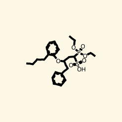 CCCCc1ccccc1OC(Cc1ccccc1)CC(P(=O)(OCC)OCC)S(=O)(=O)O